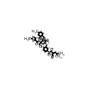 Cc1ccc(CNC(=O)[C@H](Cc2cccc(N(C)C(=O)C(C#N)=CC(C)C)c2)N[C@](C=O)(NC(=O)c2cnc(C)s2)[C@@H](C)O)c(F)c1